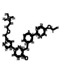 CCOc1cnc(-c2cccc(Cc3nn(-c4cnn(COCC[Si](C)(C)C)c4)ccc3=O)c2)nc1